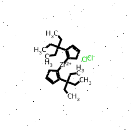 CCC(CC)(CC)C1=[C]([Zr+2][C]2=C(C(CC)(CC)CC)C=CC2)CC=C1.[Cl-].[Cl-]